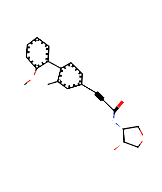 O=C(C#Cc1ccc(-c2ccccc2OC(F)(F)F)c(C(F)(F)F)c1)N[C@H]1COC[C@H]1O